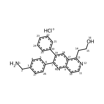 Cl.NCc1ccc(-c2nc3ccnc(CCO)c3cc2-c2ccccc2)cc1